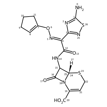 Nc1nc(C(=NOC2=CCCC2)C(=O)NC2C(=O)N3C(C(=O)O)=CCS[C@@H]23)ns1